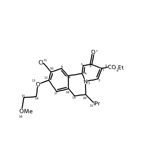 CCOC(=O)c1cn2c(cc1=O)-c1cc(Cl)c(OCCOC)cc1CC2C(C)C